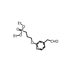 CCOP(=O)(CCCOc1cc(CC=O)ccn1)OCC